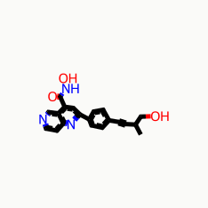 CC(C#Cc1ccc(-c2cc(C(=O)NO)c3cnccc3n2)cc1)CO